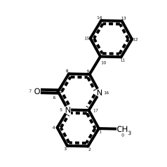 Cc1cccn2c(=O)cc(-c3ccccc3)nc12